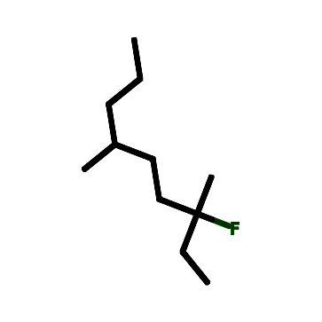 CCCC(C)CCC(C)(F)CC